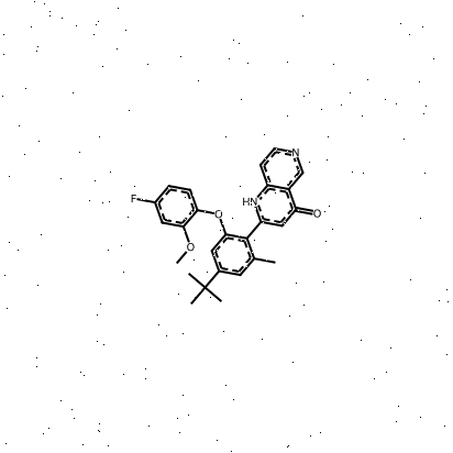 COc1cc(F)ccc1Oc1cc(C(C)(C)C)cc(C)c1-c1cc(=O)c2cnccc2[nH]1